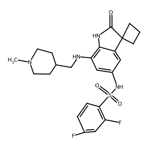 CN1CCC(CNc2cc(NS(=O)(=O)c3ccc(F)cc3F)cc3c2NC(=O)C32CCC2)CC1